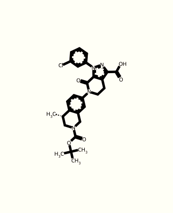 C[C@H]1CN(C(=O)OC(C)(C)C)Cc2cc(N3CCc4c(C(=O)O)nn(-c5cccc(Cl)c5)c4C3=O)ccc21